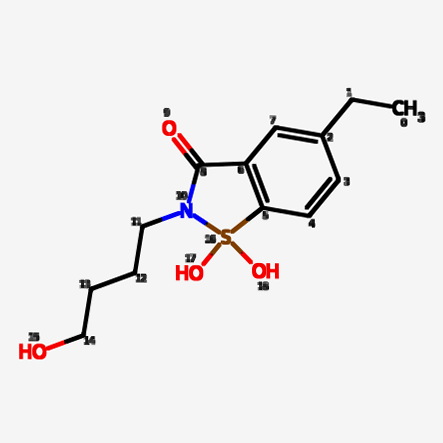 CCc1ccc2c(c1)C(=O)N(CCCCO)S2(O)O